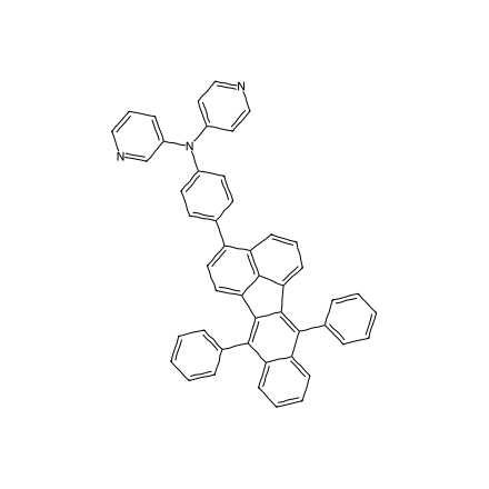 c1ccc(-c2c3c(c(-c4ccccc4)c4ccccc24)-c2ccc(-c4ccc(N(c5ccncc5)c5cccnc5)cc4)c4cccc-3c24)cc1